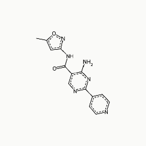 Cc1cc(NC(=O)c2cnc(-c3ccncc3)nc2N)no1